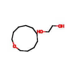 C1CCCCCOCCCC1.OCCO